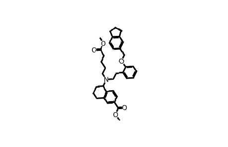 COC(=O)CCCCN(CCc1ccccc1OCc1ccc2c(c1)CCC2)C1CCCc2cc(C(=O)OC)ccc21